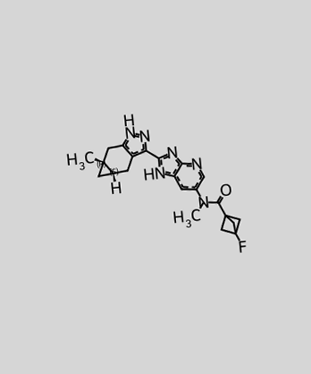 CN(C(=O)C12CC(F)(C1)C2)c1cnc2nc(-c3n[nH]c4c3C[C@@H]3C[C@]3(C)C4)[nH]c2c1